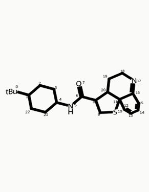 CC(C)(C)C1CCC(NC(=O)C2CSC34C=CC=CC3=NCCC24)CC1